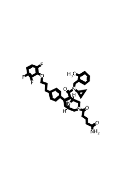 Cc1ccccc1CN(C(=O)C1=C(c2ccc(CCCOc3c(F)ccc(F)c3F)cc2)C[C@@H]2CN(C(=O)CCCC(N)=O)C[C@H]1N2)C1CC1